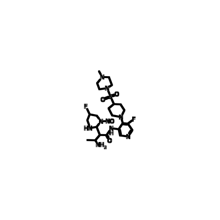 CC(N)C(C(=O)Nc1cncc(F)c1N1CCC(S(=O)(=O)N2CCN(C)CC2)CC1)C1NCC(F)CN1N=O